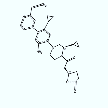 C=Cc1cc(-c2cc(N)c(N3CCN(C(=O)C[C@H]4CCC(=O)O4)[C@H](C4CC4)C3)nc2C2CC2)ccn1